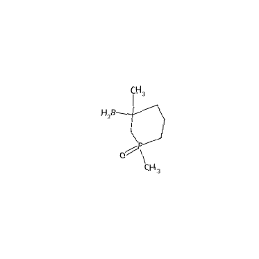 BC1(C)CCCP(C)(=O)C1